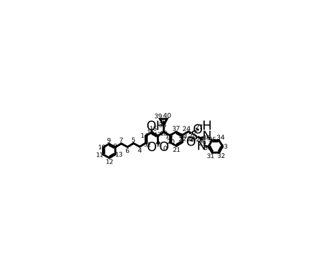 O=c1oc(CCCCc2ccccc2)cc(O)c1C(c1cccc(CS(=O)(=O)c2nc3ccccc3[nH]2)c1)C1CC1